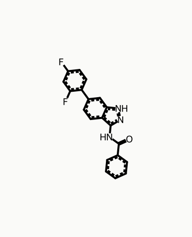 O=C(Nc1n[nH]c2cc(-c3ccc(F)cc3F)ccc12)c1ccccc1